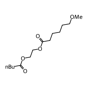 CCCCC(=O)OCCOC(=O)CCCCCOC